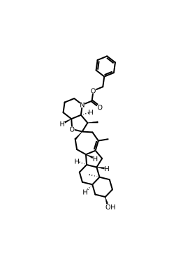 CC1=C2C[C@H]3[C@@H](CC[C@@H]4C[C@H](O)CC[C@@]43C)[C@@H]2CC[C@@]2(C1)O[C@@H]1CCCN(C(=O)OCc3ccccc3)[C@H]1[C@H]2C